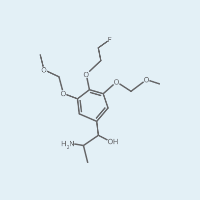 COCOc1cc(C(O)C(C)N)cc(OCOC)c1OCCF